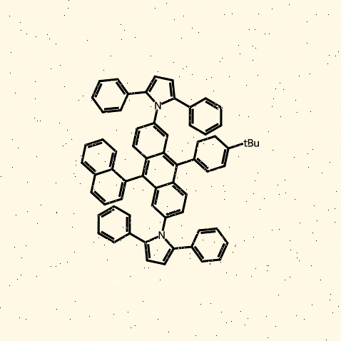 CC(C)(C)C1=CC=C(c2c3cc(-n4c(-c5ccccc5)ccc4-c4ccccc4)ccc3c(-c3cccc4ccccc34)c3cc(-n4c(-c5ccccc5)ccc4-c4ccccc4)ccc23)CC1